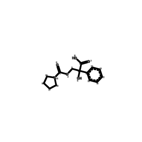 O=C(OCC(O)(C(=O)O)c1ccccc1)N1CCCC1